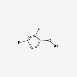 CC(C)Oc1ccc(F)[c]c1F